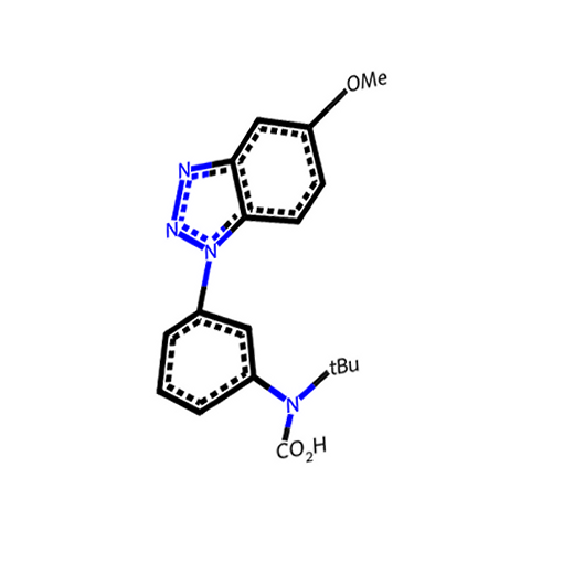 COc1ccc2c(c1)nnn2-c1cccc(N(C(=O)O)C(C)(C)C)c1